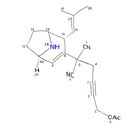 CC(=O)OCC#CCC(C#N)(C#N)C1=C[C@H]2CCC(N2)[C@@H]1C=C(C)C